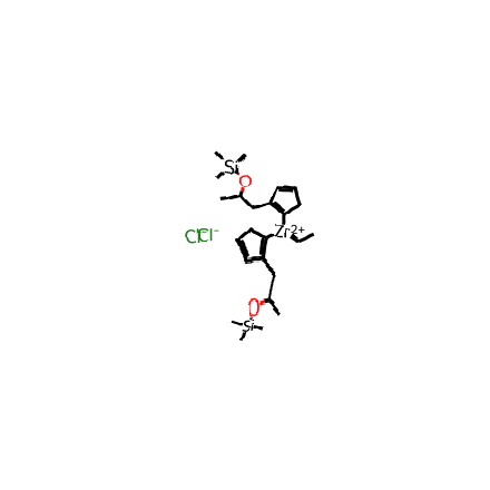 C[CH]=[Zr+2]([C]1=C(CC(C)O[Si](C)(C)C)C=CC1)[C]1=C(CC(C)O[Si](C)(C)C)C=CC1.[Cl-].[Cl-]